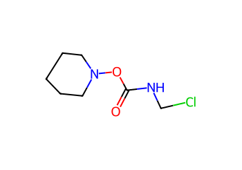 O=C(NCCl)ON1CCCCC1